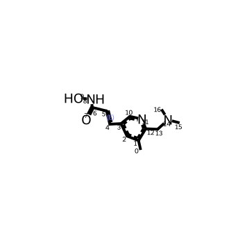 Cc1cc(/C=C/C(=O)NO)cnc1CN(C)C